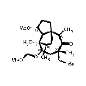 CCCCS[C@]1(C)C[C@@H](OCOC)[C@@]2(C)C3[C@H](OC)CCC3(CC[C@H]2C)[C@@H](C)C1=O